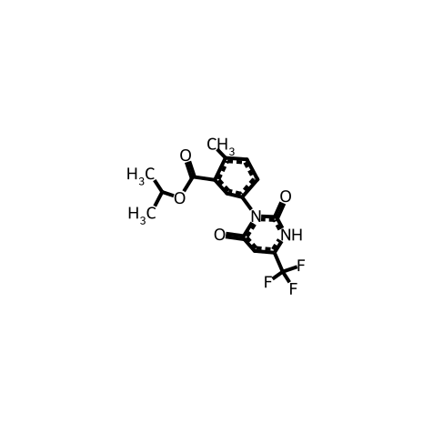 Cc1ccc(-n2c(=O)cc(C(F)(F)F)[nH]c2=O)cc1C(=O)OC(C)C